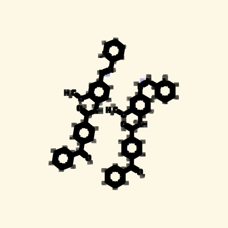 COc1cc(/N=N/c2ccccn2)ccc1NC(=O)c1ccc(C(=O)c2ccccc2)cc1.COc1cc(/N=N\c2ccccn2)ccc1NC(=O)c1ccc(C(=O)c2ccccc2)cc1